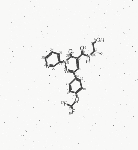 C[C@@H](CO)NC(=O)c1cc(-c2ccc(OC(F)F)cc2)nn(-c2cccnc2)c1=O